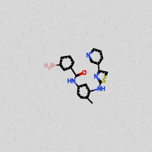 Bc1cccc(C(=O)Nc2ccc(C)c(Nc3nc(-c4cccnc4)cs3)c2)c1